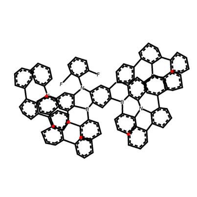 Fc1cccc(F)c1N1c2cc3c(cc2B2c4ccccc4N(c4c(-c5ccccc5)cccc4-c4ccccc4)c4cc(N(c5ccccc5)c5c(-c6ccccc6)cccc5-c5ccccc5)cc1c42)B1c2ccccc2N(c2c(-c4ccccc4)cccc2-c2ccccc2)c2cc(N(c4ccccc4)c4c(-c5ccccc5)cccc4-c4ccccc4)cc(c21)S3